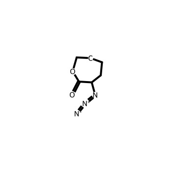 [N-]=[N+]=NC1CCCCOC1=O